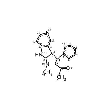 CC(=O)C1C(c2ccccc2)C2c3cnccc3NC2N1C